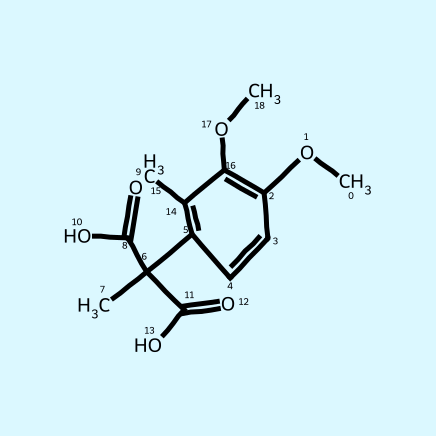 COc1ccc(C(C)(C(=O)O)C(=O)O)c(C)c1OC